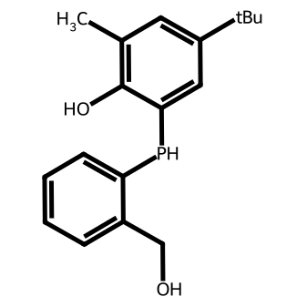 Cc1cc(C(C)(C)C)cc(Pc2ccccc2CO)c1O